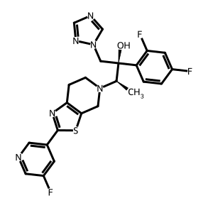 C[C@@H](N1CCc2nc(-c3cncc(F)c3)sc2C1)[C@](O)(Cn1cncn1)c1ccc(F)cc1F